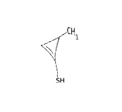 CC1C=C1S